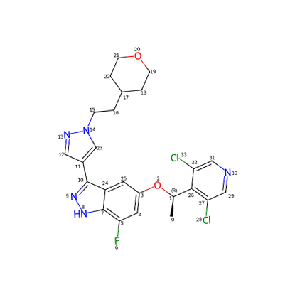 C[C@@H](Oc1cc(F)c2[nH]nc(-c3cnn(CCC4CCOCC4)c3)c2c1)c1c(Cl)cncc1Cl